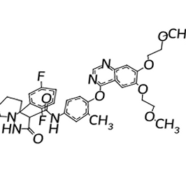 COCCOc1cc2ncnc(Oc3ccc(NC(=O)C4C(=O)NN5CCCCC45c4cc(F)ccc4F)cc3C)c2cc1OCCOC